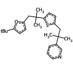 CC(C)(C)c1ccc(CC(C)(C)c2ccc(CC(C)(C)c3cccnc3)s2)o1